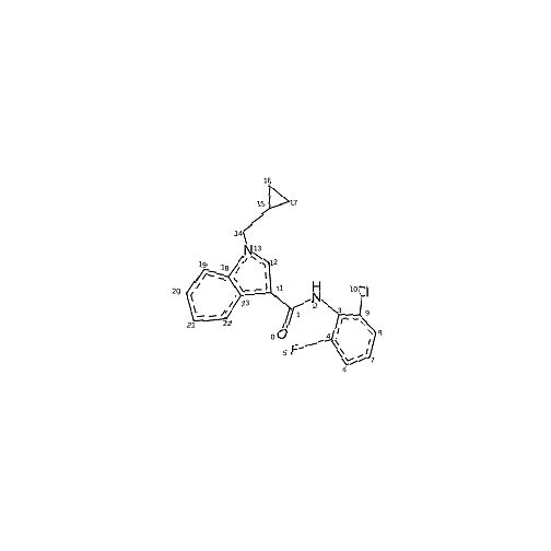 O=C(Nc1c(F)cccc1Cl)c1cn(CC2CC2)c2ccccc12